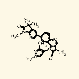 Cc1nn(C)cc1-n1c(=O)n(C)c2cnc3ccc(-c4cnc5c(c4)C(C)(C)C(=O)N5C)cc3c21